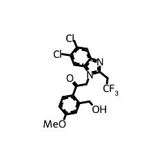 COc1ccc(C(=O)Cn2c(CC(F)(F)F)nc3cc(Cl)c(Cl)cc32)c(CO)c1